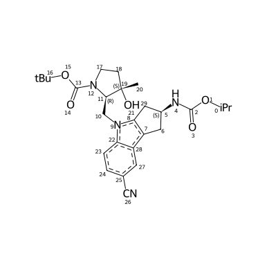 CC(C)OC(=O)N[C@H]1Cc2c(n(C[C@H]3N(C(=O)OC(C)(C)C)CC[C@]3(C)O)c3ccc(C#N)cc23)C1